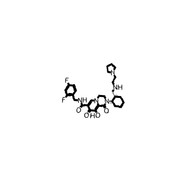 O=C(NCc1ccc(F)cc1F)c1cn2c(c(O)c1=O)C(=O)N([C@H]1CCCC[C@H]1CNCCN1CCCC1)CC2